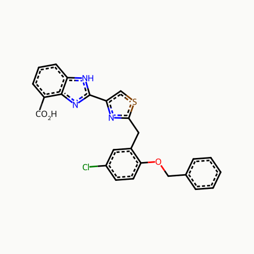 O=C(O)c1cccc2[nH]c(-c3csc(Cc4cc(Cl)ccc4OCc4ccccc4)n3)nc12